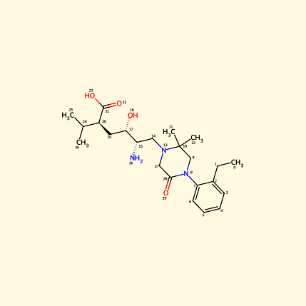 CCc1ccccc1N1CC(C)(C)N(C[C@H](N)[C@@H](O)C[C@H](C(=O)O)C(C)C)CC1=O